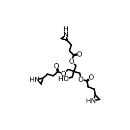 O=C(CCC1CN1)OCC(CO)(COC(=O)CCC1CN1)COC(=O)CCC1CN1